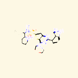 CC(NS(=O)(=O)c1cc2nc(-c3cccc4[nH]ncc34)nc(N3CCOCC3)c2s1)C1CCCCN1